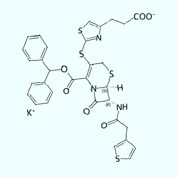 O=C([O-])CCc1csc(SC2=C(C(=O)OC(c3ccccc3)c3ccccc3)N3C(=O)[C@@H](NC(=O)Cc4ccsc4)[C@@H]3SC2)n1.[K+]